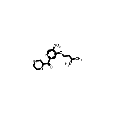 CC(N)CCOc1cc(C(=O)C2CNCCO2)ncc1[N+](=O)[O-]